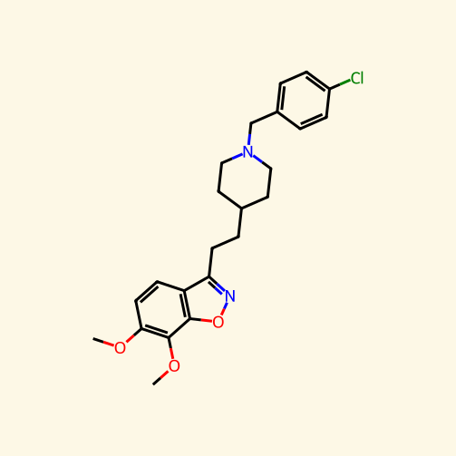 COc1ccc2c(CCC3CCN(Cc4ccc(Cl)cc4)CC3)noc2c1OC